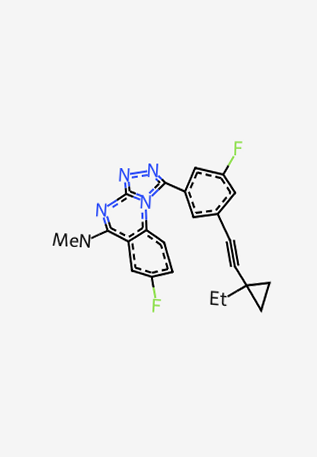 CCC1(C#Cc2cc(F)cc(-c3nnc4nc(NC)c5cc(F)ccc5n34)c2)CC1